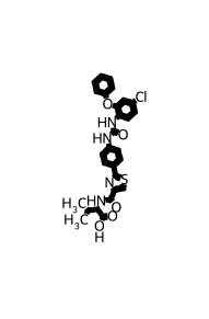 CC(C)[C@H](NC(=O)c1csc(-c2ccc(NC(=O)Nc3ccc(Cl)cc3Oc3ccccc3)cc2)n1)C(=O)O